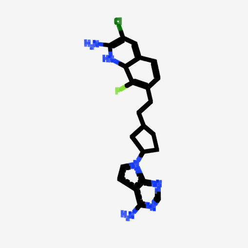 NC1=C(Cl)C=C2C=CC(CCC3CCC(n4ccc5c(N)ncnc54)C3)=C(F)C2N1